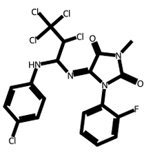 CN1C(=O)C(=NC(Nc2ccc(Cl)cc2)C(Cl)C(Cl)(Cl)Cl)N(c2ccccc2F)C1=O